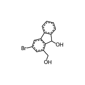 OCc1cc(Br)cc2c1C(O)c1ccccc1-2